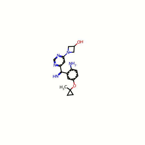 CC1(Oc2ccc(N)c(C(=N)c3cc(N4CC(O)C4)ncn3)c2)CC1